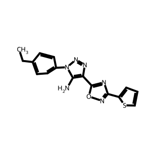 CCc1ccc(-n2nnc(-c3nc(-c4cccs4)no3)c2N)cc1